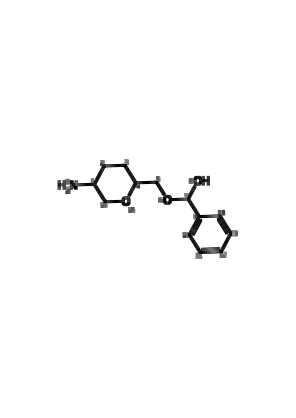 NC1CCC(COC(O)c2ccccc2)OC1